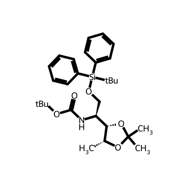 C[C@H]1OC(C)(C)O[C@H]1[C@H](CO[Si](c1ccccc1)(c1ccccc1)C(C)(C)C)NC(=O)OC(C)(C)C